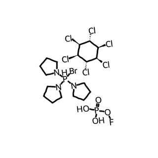 Br[PH](N1CCCC1)(N1CCCC1)N1CCCC1.Cl[C@H]1[C@H](Cl)[C@@H](Cl)[C@@H](Cl)[C@H](Cl)[C@H]1Cl.O=P(O)(O)OF